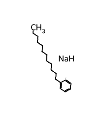 CCCCCCCCCCCCc1[c]cccc1.[NaH]